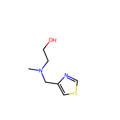 CN(CCO)Cc1cscn1